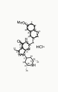 COc1ccc2ncc(Cc3nc4c(c(C)nn4C4C[C@@H](C)N[C@@H](C)C4)c(=O)[nH]3)cc2c1.Cl